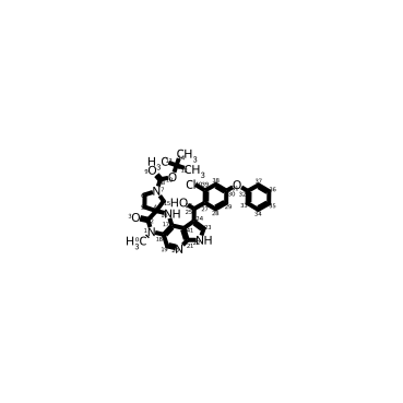 CN1C(=O)C2(CCN(C(=O)OC(C)(C)C)C2)Nc2c1cnc1[nH]cc(C(O)c3ccc(Oc4ccccc4)cc3Cl)c21